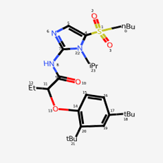 CCCCS(=O)(=O)c1cnc(NC(=O)C(CC)Oc2ccc(C(C)(C)C)cc2C(C)(C)C)n1C(C)C